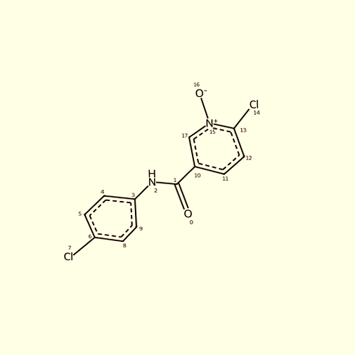 O=C(Nc1ccc(Cl)cc1)c1ccc(Cl)[n+]([O-])c1